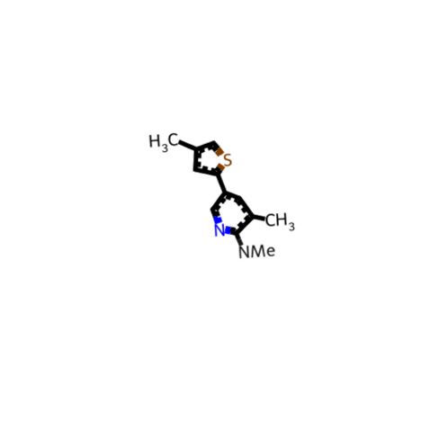 CNc1ncc(-c2cc(C)cs2)cc1C